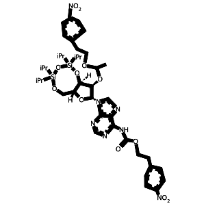 CC(OCCc1ccc([N+](=O)[O-])cc1)O[C@@H]1[C@@H]2O[Si](C(C)C)(C(C)C)O[Si](C(C)C)(C(C)C)OC[C@H]2O[C@H]1n1cnc2c(NC(=O)OCCc3ccc([N+](=O)[O-])cc3)ncnc21